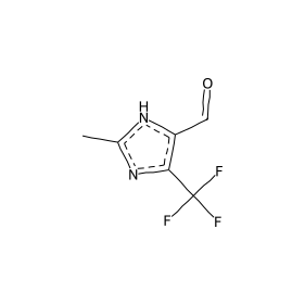 Cc1nc(C(F)(F)F)c(C=O)[nH]1